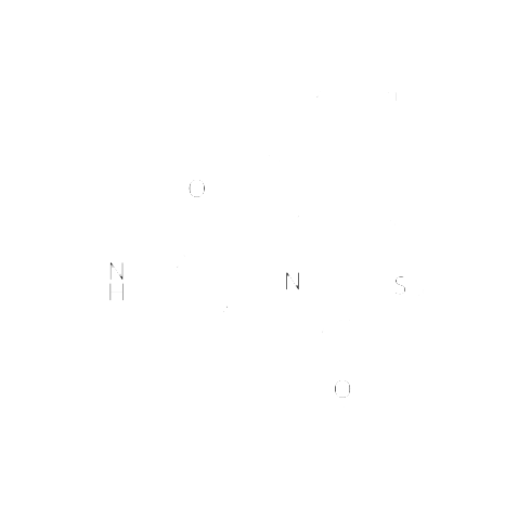 CNC(=O)Cn1c(=O)sc2ccccc21